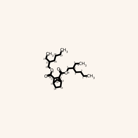 CCCCC(CC)COC(=O)C1=C2CCC(C2)C1C(=O)OCC(CC)CCCC